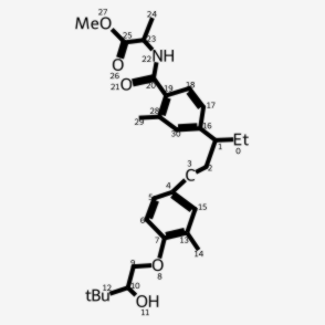 CCC(CCc1ccc(OCC(O)C(C)(C)C)c(C)c1)c1ccc(C(=O)NC(C)C(=O)OC)c(C)c1